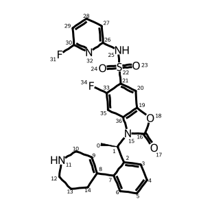 C[C@H](c1ccccc1C1=CCNCCC1)n1c(=O)oc2cc(S(=O)(=O)Nc3cccc(F)n3)c(F)cc21